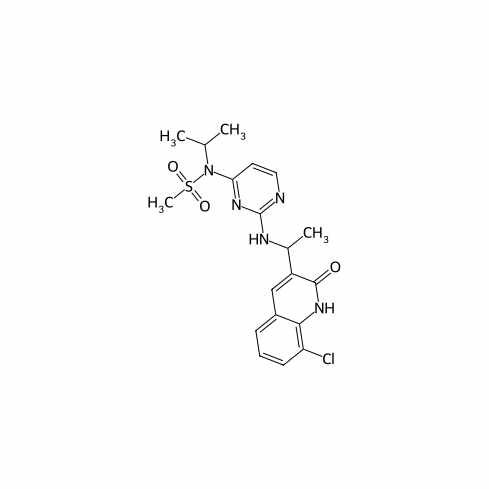 CC(Nc1nccc(N(C(C)C)S(C)(=O)=O)n1)c1cc2cccc(Cl)c2[nH]c1=O